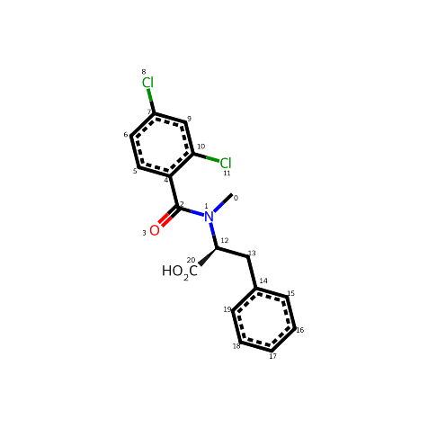 CN(C(=O)c1ccc(Cl)cc1Cl)[C@@H](Cc1ccccc1)C(=O)O